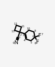 N#CC1(C2=CCC(F)(F)CC2)CCC1